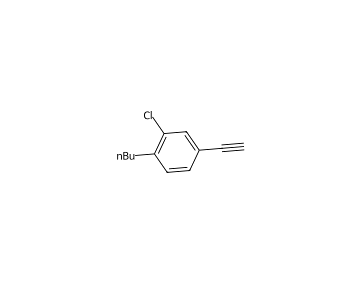 C#Cc1ccc(CCCC)c(Cl)c1